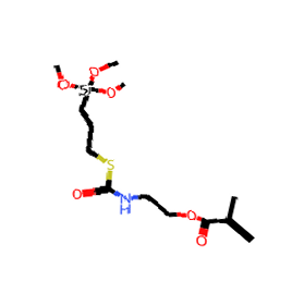 C=C(C)C(=O)OCCNC(=O)SCCC[Si](OC)(OC)OC